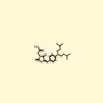 CC(C)CCN(CCC(C)C)c1ccc(C=C2SC(=S)N(CC(=O)O)C2=O)cc1